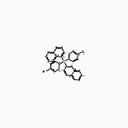 Brc1ccc(S(c2ccc(Br)cc2)(c2ccc3ccccc3c2)c2cccc3ccccc23)cc1